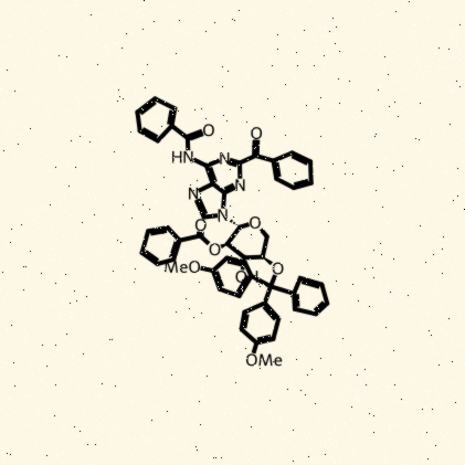 COc1ccc(C(O[C@@H]2CO[C@@H](n3cnc4c(NC(=O)c5ccccc5)nc(C(=O)c5ccccc5)nc43)[C@H](OC(=O)c3ccccc3)[C@@H]2O)(c2ccccc2)c2ccc(OC)cc2)cc1